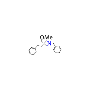 COCC1(CCc2ccccc2)CN(Cc2ccccc2)C1